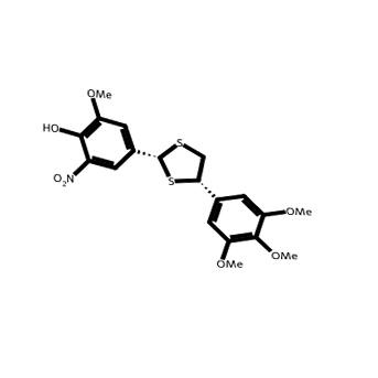 COc1cc([C@@H]2SC[C@H](c3cc(OC)c(OC)c(OC)c3)S2)cc([N+](=O)[O-])c1O